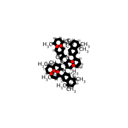 CC(C)(C)c1cc2c3c(c1)N(c1cc4c(cc1-c1ccccc1)C(C)(C)CCC4(C)C)c1c(oc4cc5c(cc14)C1(C)CCC5(C)CC1)B3c1cc3c(cc1N2c1cc2c(cc1-c1ccccc1)C(C)(C)CCC2(C)C)C(C)(C)CCC3(C)C